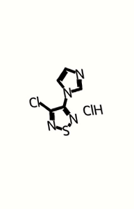 Cl.Clc1nsnc1-n1ccnc1